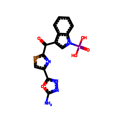 Nc1nnc(-c2csc(C(=O)c3cn(P(=O)(O)O)c4ccccc34)n2)o1